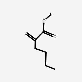 C=C(CCCC)C(=O)OF